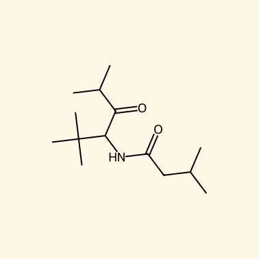 CC(C)CC(=O)NC(C(=O)C(C)C)C(C)(C)C